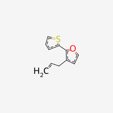 C=CCc1ccoc1-c1cccs1